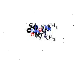 C=C(c1ccccc1)c1ccccc1NC(=O)C(CCC)N/C(=C\CC)O/C(=C\CC)C/C(=C\C(=C/C)C(F)(F)F)c1cnc(C)nc1